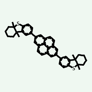 CC12CCCCC1(C)c1cc(-c3cc4ccc5cc(-c6ccc7c(c6)C6(C)CCCCC6(C)S7)cc6ccc(c3)c4c56)ccc1S2